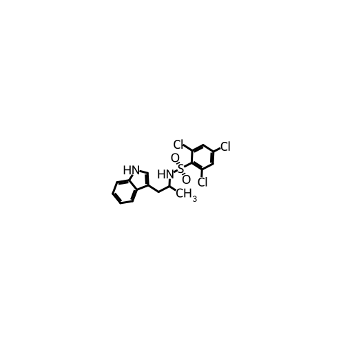 CC(Cc1c[nH]c2ccccc12)NS(=O)(=O)c1c(Cl)cc(Cl)cc1Cl